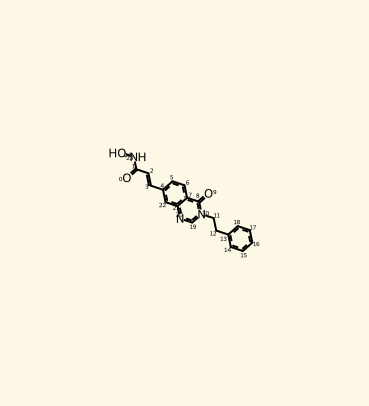 O=C(C=Cc1ccc2c(=O)n(CCc3ccccc3)cnc2c1)NO